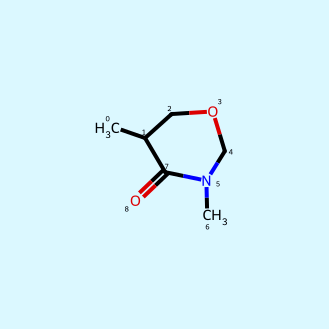 CC1COCN(C)C1=O